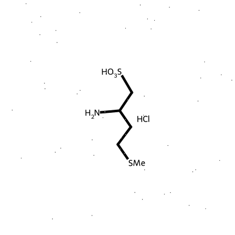 CSCCC(N)CS(=O)(=O)O.Cl